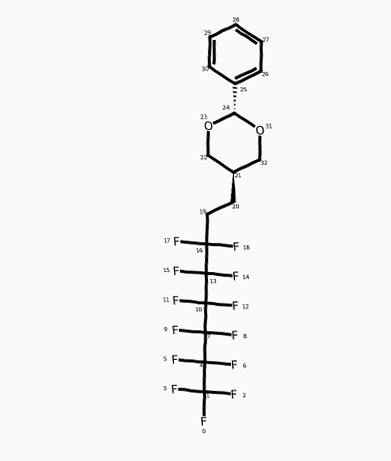 FC(F)(F)C(F)(F)C(F)(F)C(F)(F)C(F)(F)C(F)(F)CC[C@H]1CO[C@H](c2ccccc2)OC1